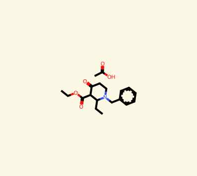 CC(=O)O.CCOC(=O)C1C(=O)CCN(Cc2ccccc2)C1CC